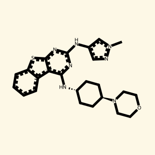 Cn1cc(Nc2nc(N[C@H]3CC[C@H](N4CCOCC4)CC3)c3c(n2)sc2ccccc23)cn1